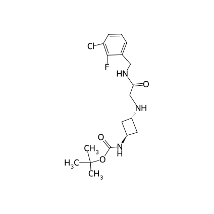 CC(C)(C)OC(=O)N[C@H]1C[C@H](NCC(=O)NCc2cccc(Cl)c2F)C1